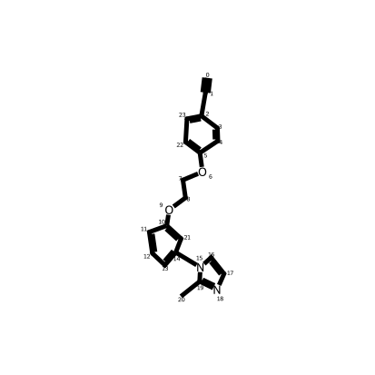 C#Cc1ccc(OCCOc2cccc(-n3ccnc3C)c2)cc1